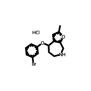 Cc1cc2c(o1)CNCCC2Oc1cccc(Br)c1.Cl